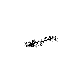 C[N+](C)(C)CCCCCCCCCCCC(O)[N+](C)(C)C.O